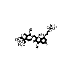 CC[C@@]1(O)C(=C=O)OCC2=C1C=CN(CC1=C(I)C(=C=O)c3cc(F)cc(OCCOS(C)(=O)=O)c3N1C)C2=C=O